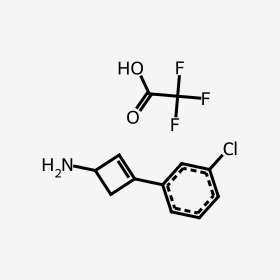 NC1C=C(c2cccc(Cl)c2)C1.O=C(O)C(F)(F)F